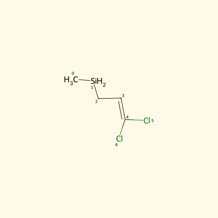 C[SiH2]CC=C(Cl)Cl